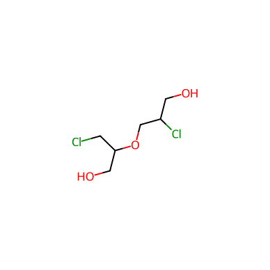 OCC(Cl)COC(CO)CCl